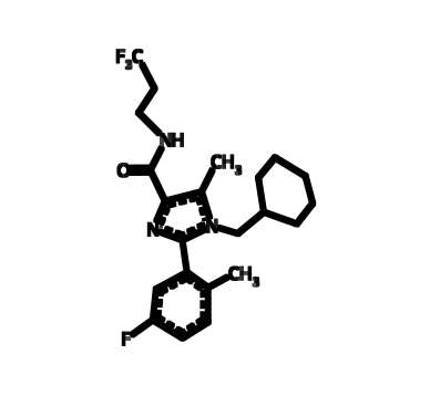 Cc1ccc(F)cc1-c1nc(C(=O)NCCC(F)(F)F)c(C)n1CC1CCCCC1